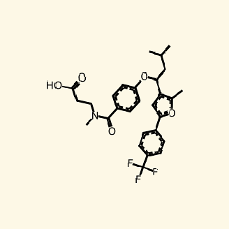 Cc1oc(-c2ccc(C(F)(F)F)cc2)cc1C(CC(C)C)Oc1ccc(C(=O)N(C)CCC(=O)O)cc1